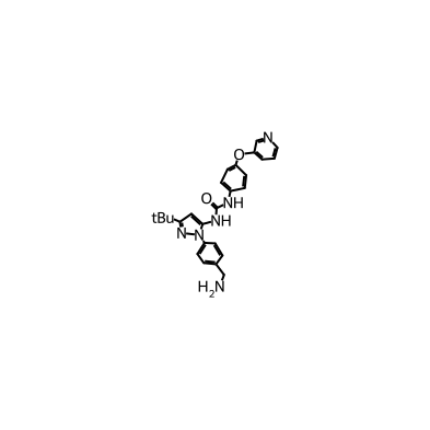 CC(C)(C)c1cc(NC(=O)Nc2ccc(Oc3cccnc3)cc2)n(-c2ccc(CN)cc2)n1